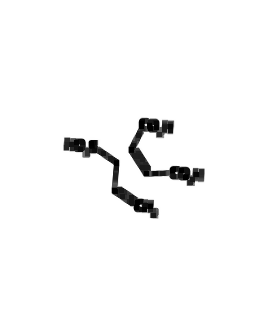 C=CCS(=O)(=O)O.O=C(O)/C=C\C(=O)O